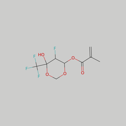 C=C(C)C(=O)OC1OCOC(O)(C(F)(F)F)C1F